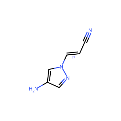 N#C/C=C/n1cc(N)cn1